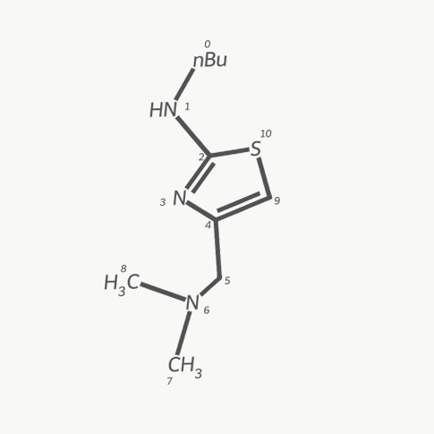 CCCCNc1nc(CN(C)C)cs1